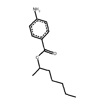 CCCCCC(C)OC(=O)c1ccc(N)cc1